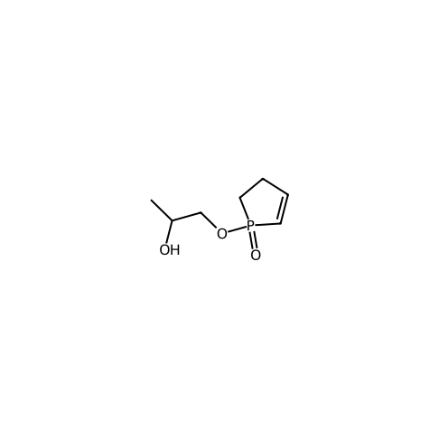 CC(O)COP1(=O)C=CCC1